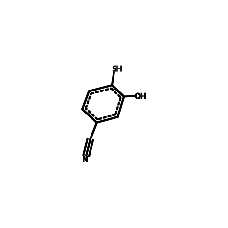 N#Cc1ccc(S)c(O)c1